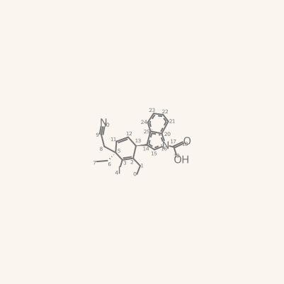 CCC1=C(I)[C@@](CC)(CC#N)C=C[C@H]1c1cn(C(=O)O)c2ccccc12